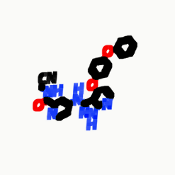 N#CCNC(=O)c1cc(Nc2n[nH]c3nccc(Oc4ccc(Oc5ccccc5)cc4)c23)ccn1